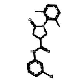 Cc1cccc(C)c1N1CC(C(=O)Nc2cccc(Cl)c2)CC1=O